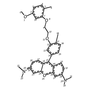 COc1ccc(C)c(OCCOc2cc(-c3c4ccc(=[N+](C)C)cc-4oc4cc(N(C)C)ccc34)ccc2C)c1